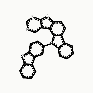 c1ccc2c(c1)sc1ccc(-n3c4ccccc4c4ccc5sc6ncncc6c5c43)cc12